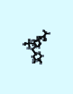 CC(C)C(=O)Nc1ccc(CN2CCN(C)[C@@H](C)C2)c(C(F)(F)F)c1